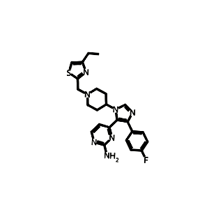 CCc1csc(CN2CCC(n3cnc(-c4ccc(F)cc4)c3-c3ccnc(N)n3)CC2)n1